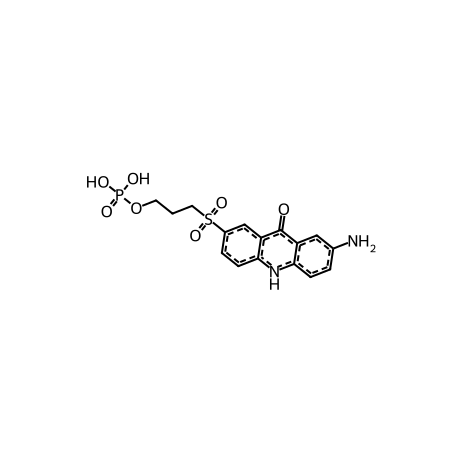 Nc1ccc2[nH]c3ccc(S(=O)(=O)CCCOP(=O)(O)O)cc3c(=O)c2c1